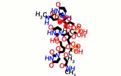 CNC(=O)CCOC1C(O)C(COP(=O)(O)C(C)(O)OC2C(COP(=O)(O)C(C)OC3C(CO)OC(n4ccc(=O)[nH]c4=O)C3OCCC(=O)NC)OC(n3ccc(=O)[nH]c3=O)C2OCCC(=O)NC)OC1n1ccc(=O)[nH]c1=O